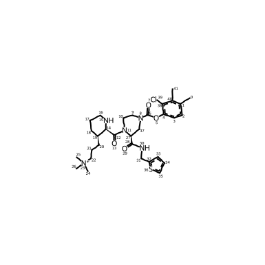 Cc1ccc(OC(=O)N2CCN(C(=O)[C@@H]3NCCC[C@@H]3CCC[N+](C)(C)C)[C@H](C(=O)NCc3cccs3)C2)c(Cl)c1C